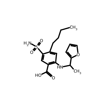 CCCCc1cc(NC(C)c2ccco2)c(C(=O)O)cc1S(N)(=O)=O